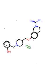 Cl.Cl.N=C(N)N1CCc2ccc(OCC3CCN(Cc4ccccc4O)CC3)cc2C1